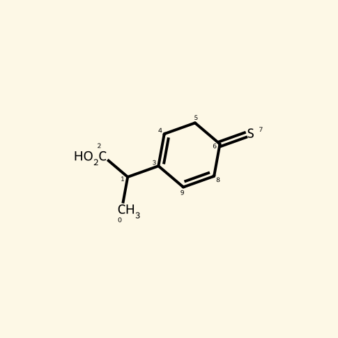 CC(C(=O)O)C1=CCC(=S)C=C1